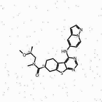 CO[C@@H](C)CN(C)C(=O)[C@H]1CCc2c(sc3ncnc(Nc4ccn5nccc5c4)c23)C1